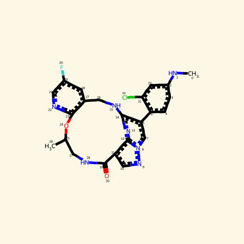 CNc1ccc(-c2cn3ncc4c3nc2NCc2cc(F)cnc2OC(C)CNC4=O)c(Cl)c1